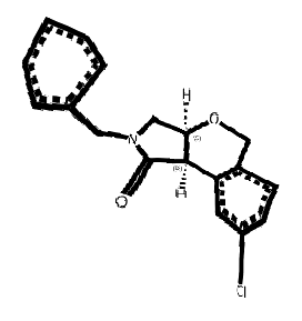 O=C1[C@@H]2c3cc(Cl)ccc3CO[C@@H]2CN1Cc1ccccc1